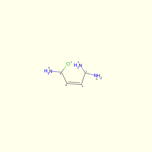 NC(N)/C=C\C(N)Cl